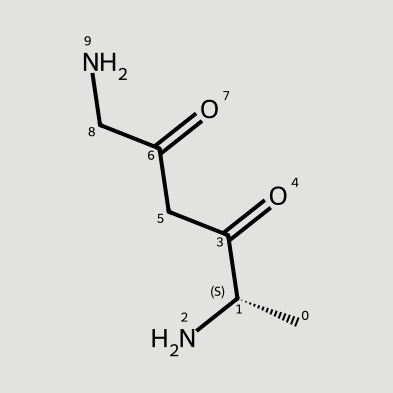 C[C@H](N)C(=O)CC(=O)CN